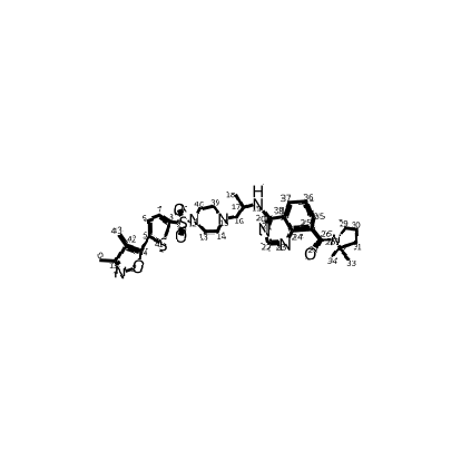 Cc1noc(-c2ccc(S(=O)(=O)N3CCN(CC(C)Nc4ncnc5c(C(=O)N6CCCC6(C)C)cccc45)CC3)s2)c1C